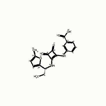 CC[C@@H](Nc1c(Nc2cccc(C(=O)O)c2)c(=O)c1=O)c1ccc(C)o1